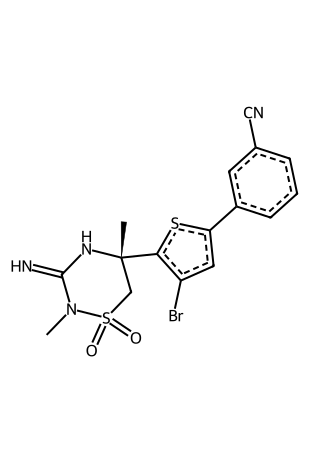 CN1C(=N)N[C@](C)(c2sc(-c3cccc(C#N)c3)cc2Br)CS1(=O)=O